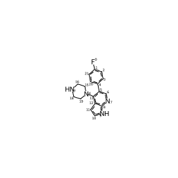 Fc1ccc(-c2cnc3[nH]ccc3c2N2CCNCC2)cc1